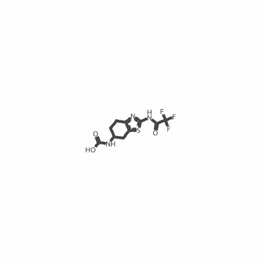 O=C(O)NC1CCc2nc(NC(=O)C(F)(F)F)sc2C1